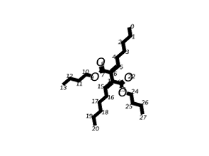 CCCCCC=C(C(=O)OCCCC)C(=CCCCCC)C(=O)OCCCC